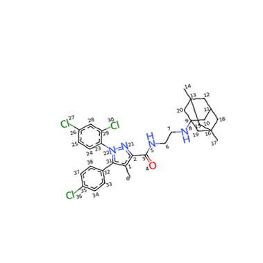 Cc1c(C(=O)NCCNC23CC4CC(C)(CC(C)(C4)C2)C3)nn(-c2ccc(Cl)cc2Cl)c1-c1ccc(Cl)cc1